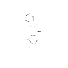 CC(C)c1cc(C(=O)N2Cc3ccccc3C2)c(O)cc1CN